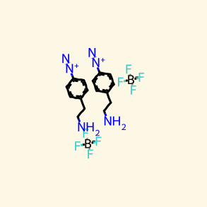 F[B-](F)(F)F.F[B-](F)(F)F.N#[N+]c1ccc(CCN)cc1.N#[N+]c1ccc(CCN)cc1